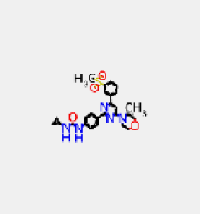 C[C@H]1COCCN1c1cc(-c2cccc(S(C)(=O)=O)c2)nc(-c2ccc(NC(=O)NC3CC3)cc2)n1